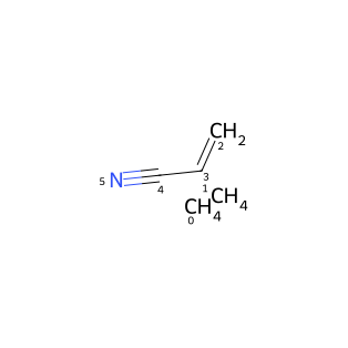 C.C.C=CC#N